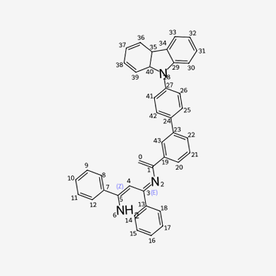 C=C(/N=C(\C=C(/N)c1ccccc1)c1ccccc1)c1cccc(-c2ccc(N3c4ccccc4C4C=CC=CC43)cc2)c1